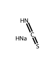 N=C=S.[NaH]